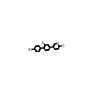 CCc1ccc(-c2ccc(-c3ccc(Cl)nc3)cc2F)cc1